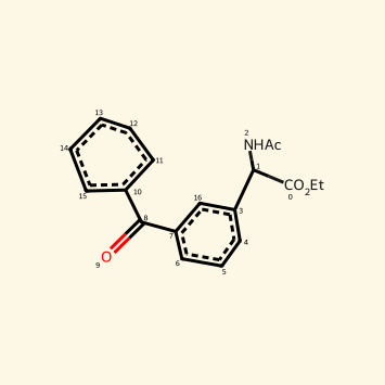 CCOC(=O)C(NC(C)=O)c1cccc(C(=O)c2ccccc2)c1